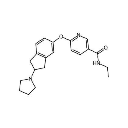 CCNC(=O)c1ccc(Oc2ccc3c(c2)CC(N2CCCC2)C3)nc1